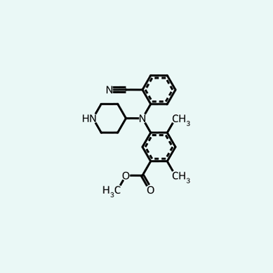 COC(=O)c1cc(N(c2ccccc2C#N)C2CCNCC2)c(C)cc1C